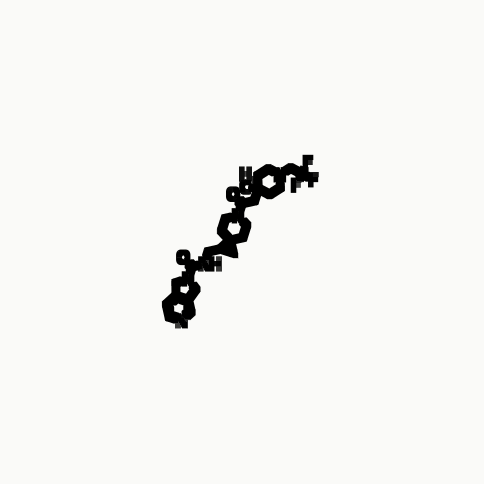 CC1(CC(=O)N2CCC3(CC2)CC3CNC(=O)N2Cc3ccncc3C2)CCN(CC(F)(F)F)CC1